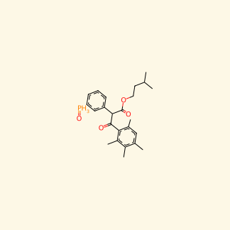 Cc1cc(C)c(C(=O)C(C(=O)OCCC(C)C)c2ccccc2)c(C)c1C.O=[PH3]